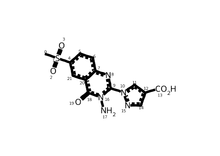 CS(=O)(=O)c1ccc2nc(-n3cc(C(=O)O)cn3)n(N)c(=O)c2c1